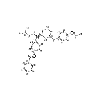 CCOc1ccc(CN2CCCC(N(CCC(C)C)c3ccc(OCc4ccccc4)cc3)C2)cc1